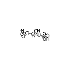 CN(C)C(=O)c1ccc(-c2cnc(N3CCN(C(=O)[C@](C)(O)c4ccccc4)CC3)c(C#N)c2)cc1Cl